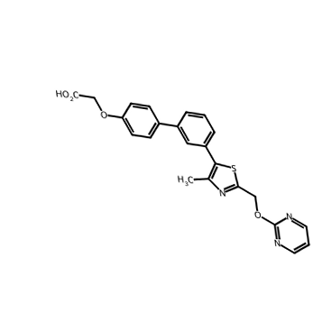 Cc1nc(COc2ncccn2)sc1-c1cccc(-c2ccc(OCC(=O)O)cc2)c1